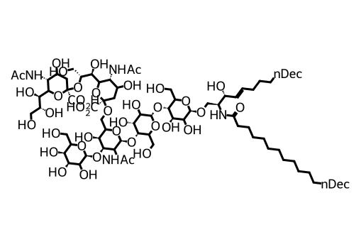 CCCCCCCCCCCCC/C=C/[C@@H](O)[C@H](CO[C@@H]1OC(CO)[C@@H](O[C@@H]2OC(CO)[C@H](O[C@@H]3OC(CO[C@]4(C(=O)O)CC(O)[C@@H](NC(C)=O)C([C@H](O)[C@@H](CO)O[C@]5(C(=O)O)CC(O)[C@@H](NC(C)=O)C([C@H](O)[C@H](O)CO)O5)O4)[C@H](O)[C@H](O[C@@H]4OC(CO)[C@H](O)[C@H](O)C4O)C3NC(C)=O)[C@H](O)C2O)[C@H](O)C1O)NC(=O)CCCCCCCCCCCCCCCCCCCCC